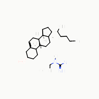 CC(C)CCCC(C)[C@H]1CC[C@H]2[C@@H]3CC=C4C[C@@H](O)CC[C@]4(C)[C@H]3CC[C@]12C.CN(CC(=O)O)C(=N)N